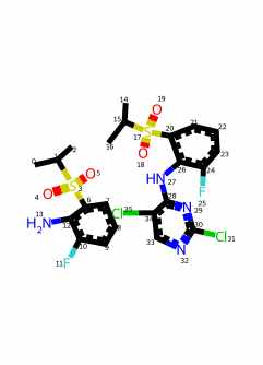 CC(C)S(=O)(=O)c1cccc(F)c1N.CC(C)S(=O)(=O)c1cccc(F)c1Nc1nc(Cl)ncc1Cl